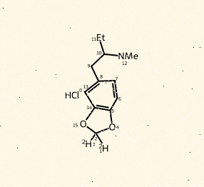 Cl.[2H]C1([2H])Oc2ccc(CC(CC)NC)cc2O1